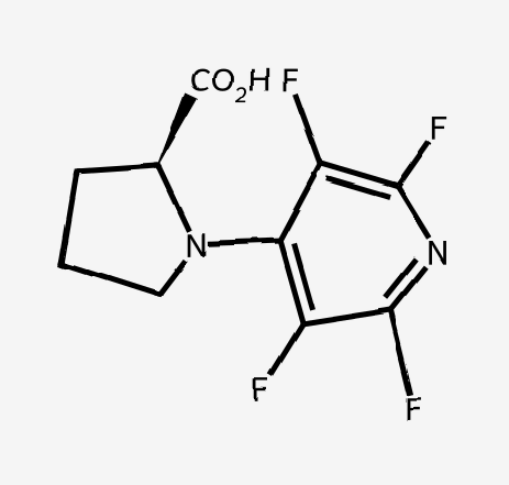 O=C(O)[C@@H]1CCCN1c1c(F)c(F)nc(F)c1F